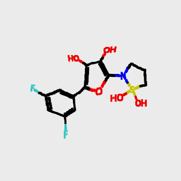 Oc1c(-c2cc(F)cc(F)c2)oc(N2CCCS2(O)O)c1O